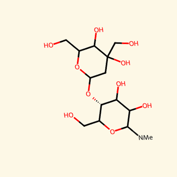 CNC1OC(CO)[C@H](OC2CC(O)(CO)C(O)C(CO)O2)C(O)C1O